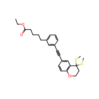 CCOC(=O)CCCCc1cccc(C#Cc2ccc3c(c2)C(SC)(SC)CCO3)c1